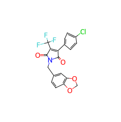 O=C1C(c2ccc(Cl)cc2)=C(C(F)(F)F)C(=O)N1Cc1ccc2c(c1)OCO2